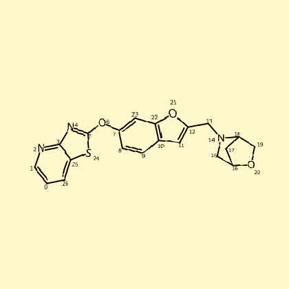 c1cnc2nc(Oc3ccc4cc(CN5CC6CC5CO6)oc4c3)sc2c1